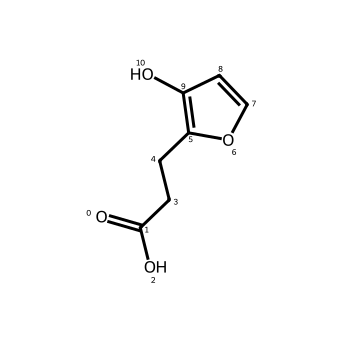 O=C(O)CCc1occc1O